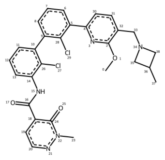 COc1nc(-c2cccc(-c3cccc(NC(=O)c4ccnn(C)c4=O)c3Cl)c2Cl)ccc1CN1CC(C)C1